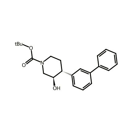 CC(C)(C)OC(=O)N1CC[C@H](c2cccc(-c3ccccc3)c2)[C@@H](O)C1